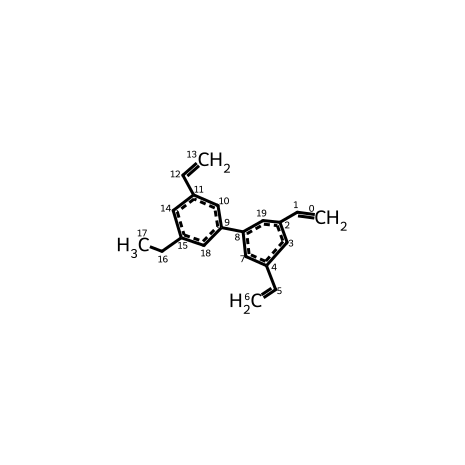 C=Cc1cc(C=C)cc(-c2cc(C=C)cc(CC)c2)c1